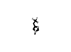 Cn1cnc(CC(F)(F)F)c1